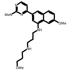 CNc1nccc(-c2cc(NCCCNCCCOC)c3cc(OC)ccc3c2)n1